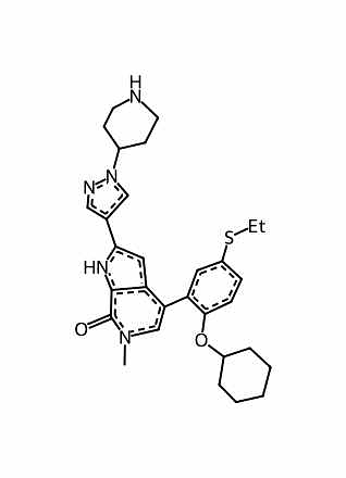 CCSc1ccc(OC2CCCCC2)c(-c2cn(C)c(=O)c3[nH]c(-c4cnn(C5CCNCC5)c4)cc23)c1